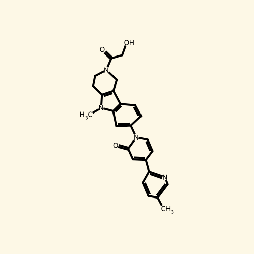 Cc1ccc(-c2ccn(-c3ccc4c5c(n(C)c4c3)CCN(C(=O)CO)C5)c(=O)c2)nc1